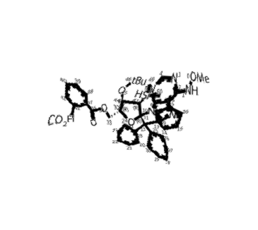 CONc1ncnc2c1ncn2[C@]1(C(c2ccccc2)(c2ccccc2)c2ccccc2)O[C@H](COC(=O)c2ccccc2C(=O)O)[C@@H](OC(C)(C)C)[C@H]1[SiH](C)C